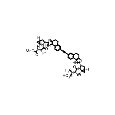 COC(=O)N[C@H](C(=O)N1[C@@H]2C[C@H]2C[C@H]1c1nc2c([nH]1)-c1ccc(C#Cc3ccc4c(c3)CCc3nc([C@@H]5C[C@H]6C[C@H]6N5C(=O)[C@H](C(C)C)N(C)C(=O)O)[nH]c3-4)cc1CC2)C(C)C